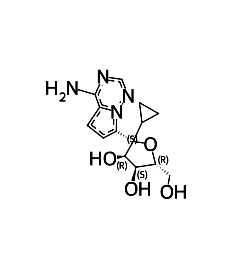 Nc1ncnn2c([C@]3(C4CC4)O[C@H](CO)[C@@H](O)[C@H]3O)ccc12